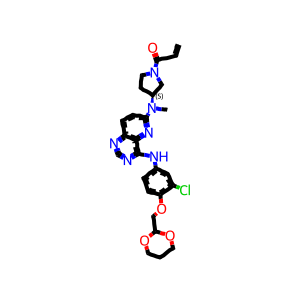 C=CC(=O)N1CC[C@H](N(C)c2ccc3ncnc(Nc4ccc(OCC5OCCCO5)c(Cl)c4)c3n2)C1